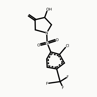 C=C1CN(S(=O)(=O)c2ccc(C(F)(F)F)cc2Cl)CC1O